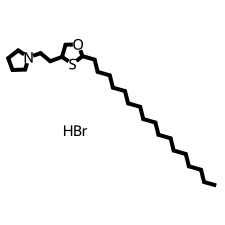 Br.CCCCCCCCCCCCCCCCCC1OCC(CCN2CCCC2)S1